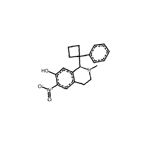 CN1CCc2cc([N+](=O)[O-])c(O)cc2C1C1(c2ccccc2)CCC1